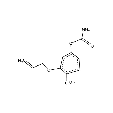 C=CCOc1cc(OC(N)=O)ccc1OC